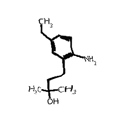 CCc1ccc(N)c(CCC(C)(C)O)c1